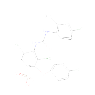 Cc1cc(Cl)ccc1NC(=O)Nc1c(Cl)cc(S(=O)(=O)O)c(Oc2ccc(Cl)cc2)c1Cl